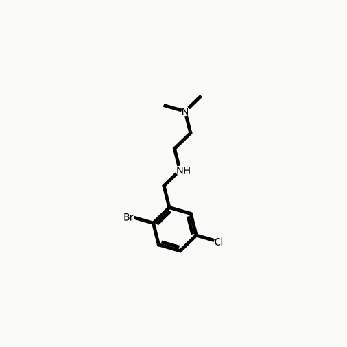 CN(C)CCNCc1cc(Cl)ccc1Br